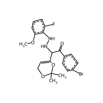 COc1cccc(F)c1NNC(C(=O)c1ccc(Br)cc1)C1=CCOC(C)(C)O1